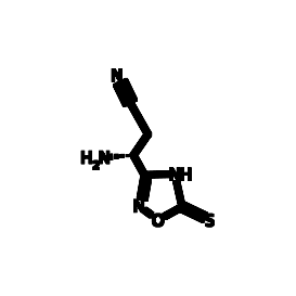 N#CC[C@@H](N)c1noc(=S)[nH]1